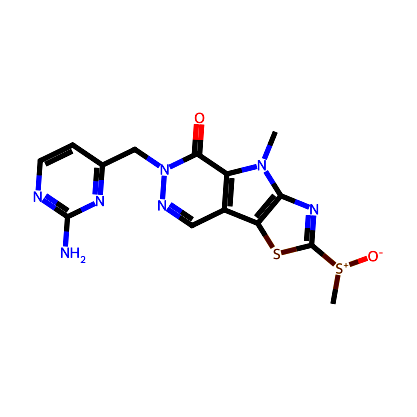 Cn1c2nc([S+](C)[O-])sc2c2cnn(Cc3ccnc(N)n3)c(=O)c21